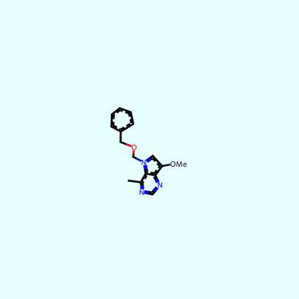 COc1cn(COCc2ccccc2)c2c(C)ncnc12